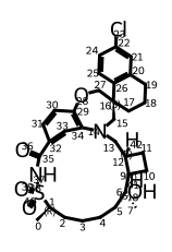 C[C@@H]1CCCC[C@](C)(O)[C@@H]2CC[C@H]2CN2C[C@@]3(CCCc4cc(Cl)ccc43)COc3ccc(cc32)C(=O)NS1(=O)=O